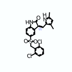 Cc1cc(C)c(/C=C2\C(=O)Nc3ccc(S(=O)(=O)Cc4c(Cl)cccc4Cl)cc32)[nH]1